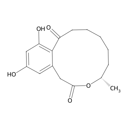 C[C@H]1CCCCCC(=O)c2c(O)cc(O)cc2CC(=O)O1